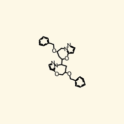 c1ccc(COC2COc3ccnn3C(C3CC(OCc4ccccc4)Cn4nccc4O3)C2)cc1